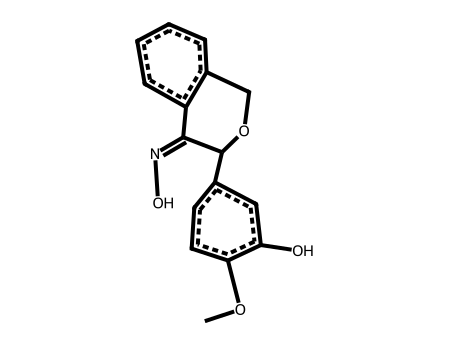 COc1ccc(C2OCc3ccccc3C2=NO)cc1O